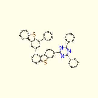 c1ccc(-c2nc(-c3ccccc3)nc(-c3ccc4c(c3)sc3cccc(-c5cc(-c6ccccc6)c6sc7ccccc7c6c5)c34)n2)cc1